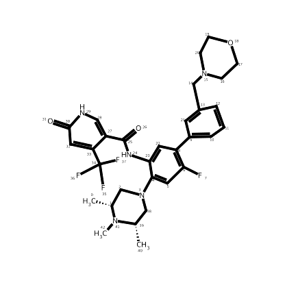 C[C@@H]1CN(c2cc(F)c(-c3cccc(CN4CCOCC4)c3)cc2NC(=O)c2c[nH]c(=O)cc2C(F)(F)F)C[C@H](C)N1C